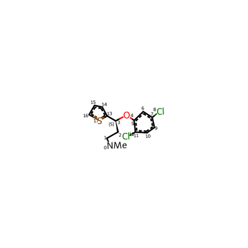 CNCC[C@H](Oc1cc(Cl)ccc1Cl)c1cccs1